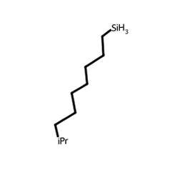 CC(C)CCCCCCC[SiH3]